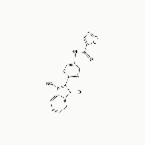 CCn1c(-c2ccc(NC(=O)c3ccno3)cc2)c(C#N)c2ccccc21